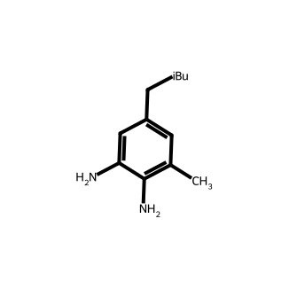 CCC(C)Cc1cc(C)c(N)c(N)c1